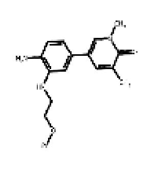 Cc1cc(-c2ccc(N)c(NCCOC(C)C)c2)cn(C)c1=O